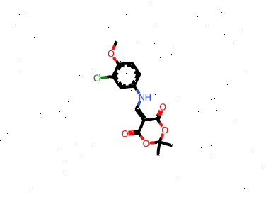 COc1ccc(NC=C2C(=O)OC(C)(C)OC2=O)cc1Cl